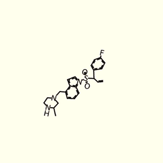 C=CC(c1ccc(F)cc1)S(=O)(=O)n1ccc2c(CN3CCNC(C)C3)cccc21